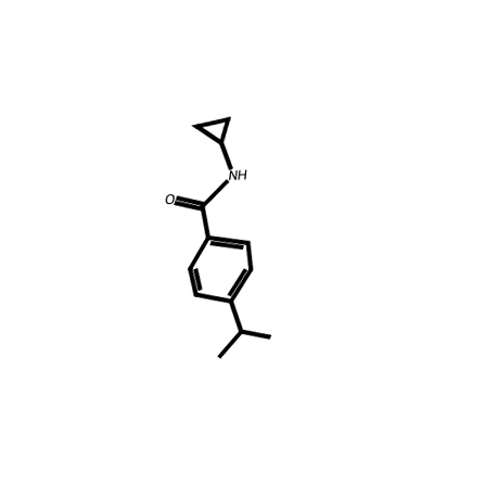 CC(C)c1ccc(C(=O)NC2CC2)cc1